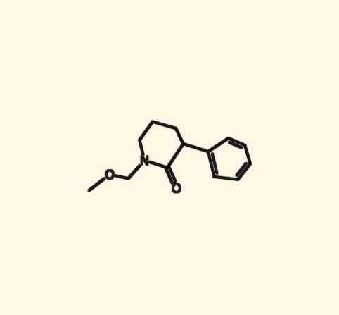 COCN1CCCC(c2ccccc2)C1=O